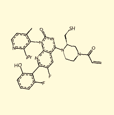 C=CC(=O)N1CCN(c2nc(=O)n(-c3c(C)ccnc3C(C)C)c3nc(-c4c(O)cccc4F)c(F)cc23)[C@@H](CS)C1